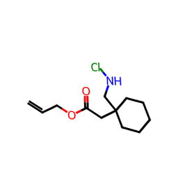 C=CCOC(=O)CC1(CNCl)CCCCC1